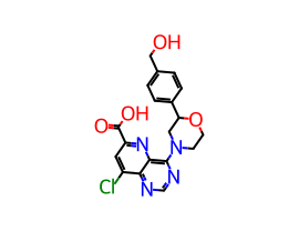 O=C(O)c1cc(Cl)c2ncnc(N3CCOC(c4ccc(CO)cc4)C3)c2n1